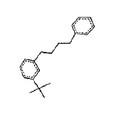 CC(C)(C)c1cccc(CCCCc2cc[c]cc2)c1